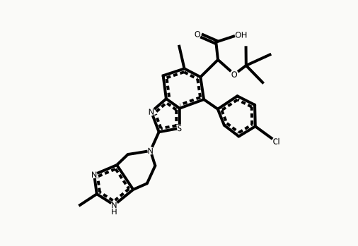 Cc1nc2c([nH]1)CCN(c1nc3cc(C)c(C(OC(C)(C)C)C(=O)O)c(-c4ccc(Cl)cc4)c3s1)C2